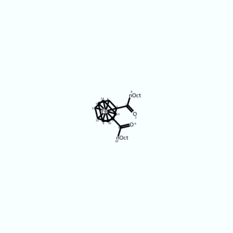 CCCCCCCCC(=O)[C]12[CH]3[CH]4[CH]5[C]1(C(=O)CCCCCCCC)[Fe]43521678[CH]2[CH]1[CH]6[CH]7[CH]28